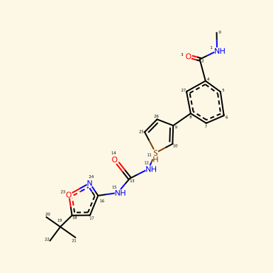 CNC(=O)c1cccc(C2=C[SH](NC(=O)Nc3cc(C(C)(C)C)on3)C=C2)c1